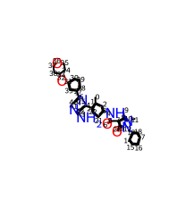 Cc1cc(NC(=O)c2c(C)n(C)n(-c3ccccc3)c2=O)ccc1-c1nc(-c2cccc(OC3CCOCC3)c2)cnc1N